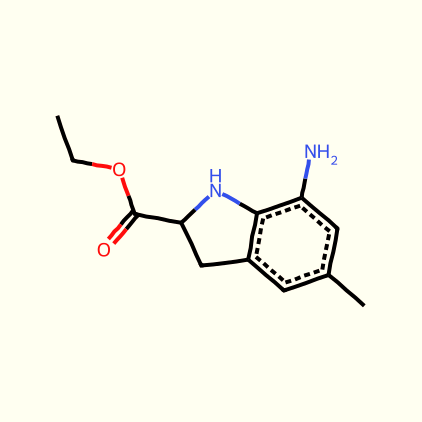 CCOC(=O)C1Cc2cc(C)cc(N)c2N1